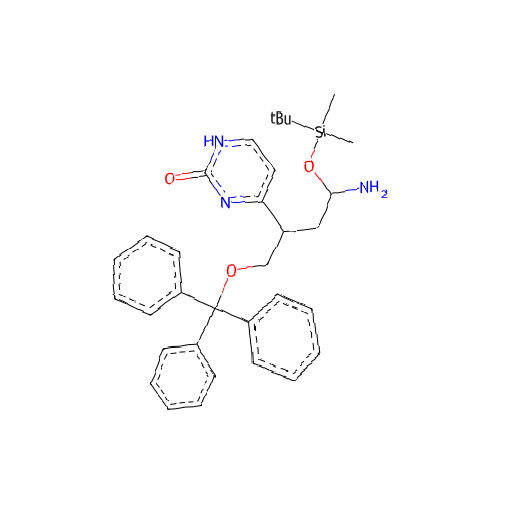 CC(C)(C)[Si](C)(C)OC(N)CC(COC(c1ccccc1)(c1ccccc1)c1ccccc1)c1cc[nH]c(=O)n1